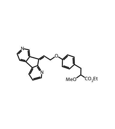 CCOC(=O)C(Cc1ccc(OCC=C2c3cnccc3-c3cccnc32)cc1)OC